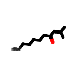 CCCCCCCCCCCC(=O)C=C(C)C